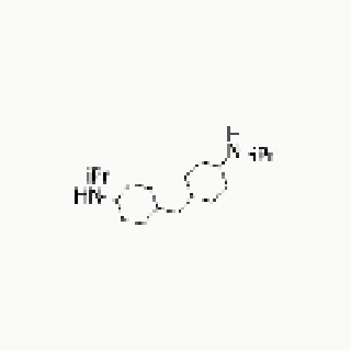 CC(C)NC1CCC(CC2CCC(NC(C)C)CC2)CC1